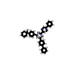 C=C(/C=C\C(=C/C)c1ccccc1)C(=N/Cc1ccc(-c2ccccc2)cc1)/N=C(\N)c1ccc(C2(C)C=CC=CC2)cc1